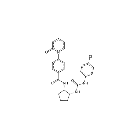 O=C(Nc1ccc(Cl)cc1)N[C@@H]1CCC[C@@H]1NC(=O)c1ccc(-n2ccccc2=O)cc1